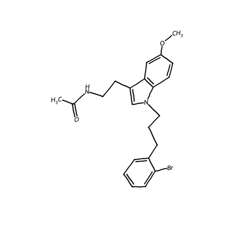 COc1ccc2c(c1)c(CCNC(C)=O)cn2CCCc1ccccc1Br